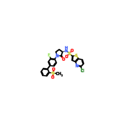 CS(=O)(=O)c1ccccc1-c1ccc(N2CC[C@H](NS(=O)(=O)c3cc4nc(Cl)ccc4s3)C2=O)c(F)c1